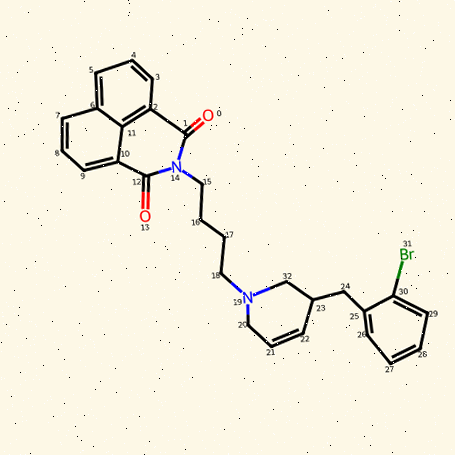 O=C1c2cccc3cccc(c23)C(=O)N1CCCCN1CC=CC(Cc2ccccc2Br)C1